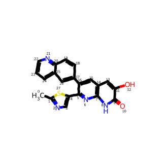 Cc1ncc(-c2nc3[nH]c(=O)c(O)cc3cc2-c2ccc3ncccc3c2)s1